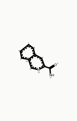 [NH]C(=O)c1cc2ccccc2cn1